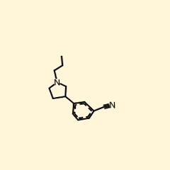 CCCN1CCC(c2cccc(C#N)c2)C1